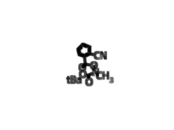 CN(OC(=O)c1ccccc1C#N)C(=O)OC(C)(C)C